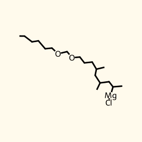 CCCCCCOCOCCCC(C)CC(C)C[CH](C)[Mg][Cl]